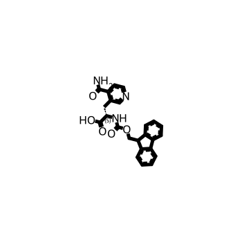 NC(=O)c1ccncc1C[C@H](NC(=O)OCC1c2ccccc2-c2ccccc21)C(=O)O